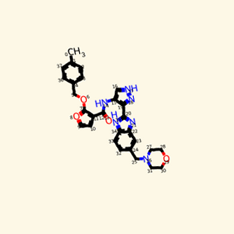 Cc1ccc(COc2occc2C(=O)Nc2c[nH]nc2-c2nc3cc(CN4CCOCC4)ccc3[nH]2)cc1